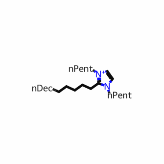 CCCCCCCCCCCCCCCc1n(CCCCC)cc[n+]1CCCCC